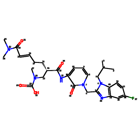 CC(C)Cn1c(Cn2cccc(NC(=O)[C@@H](CC/C=C/C(=O)N(C)C)CN(C)C(=O)O)c2=O)nc2cc(F)ccc21